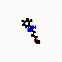 CCOC=CCNNc1ccccc1